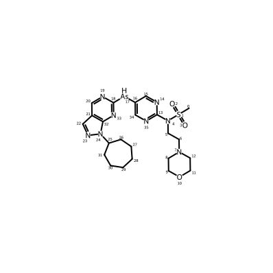 CS(=O)(=O)N(CCN1CCOCC1)c1ncc([AsH]c2ncc3cnn(C4CCCCCC4)c3n2)cn1